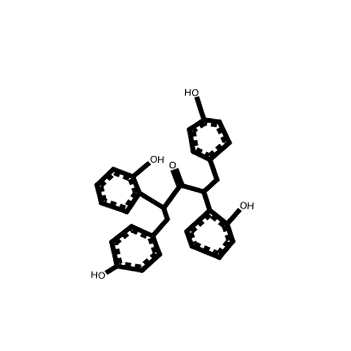 O=C(C(Cc1ccc(O)cc1)c1ccccc1O)C(Cc1ccc(O)cc1)c1ccccc1O